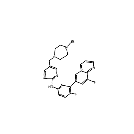 CCN1CCN(Cc2ccc(Nc3ncc(F)c(-c4cc(F)c5ncccc5c4)n3)nc2)CC1